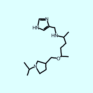 CC(CCC(C)OCC1CCN(C(C)C)C1)NCc1c[nH]cn1